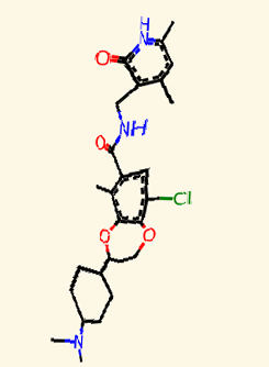 Cc1cc(C)c(CNC(=O)c2cc(Cl)c3c(c2C)OC(C2CCC(N(C)C)CC2)CO3)c(=O)[nH]1